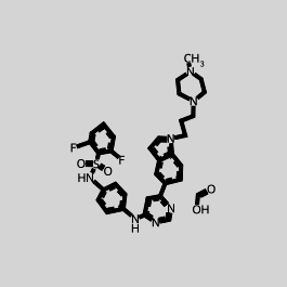 CN1CCN(CCCn2ccc3cc(-c4cc(Nc5ccc(NS(=O)(=O)c6c(F)cccc6F)cc5)ncn4)ccc32)CC1.O=CO